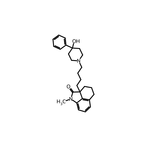 CN1C(=O)C2(CCCCN3CCC(O)(c4ccccc4)CC3)CCCc3cccc1c32